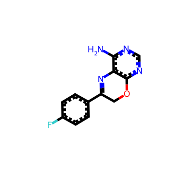 Nc1ncnc2c1N=C(c1ccc(F)cc1)CO2